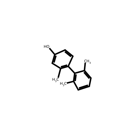 Cc1cc(O)ccc1-c1c(C)cccc1C